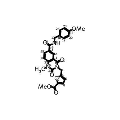 COC(=O)c1ccc(Cn2c(=O)c3cc(C(=O)NCc4ccc(OC)cc4)ccc3n(C)c2=O)o1